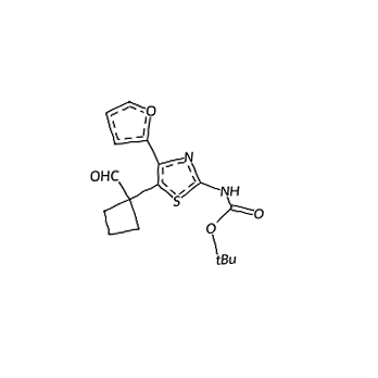 CC(C)(C)OC(=O)Nc1nc(-c2ccco2)c(C2(C=O)CCC2)s1